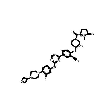 CN1C(=O)CC[C@H]1C(=O)N1CC[C@H](Oc2ccc(-c3ncnc(Nc4ccc(N5CCN(C6COC6)CC5)c(F)c4)n3)cc2C#N)[C@@H](F)C1